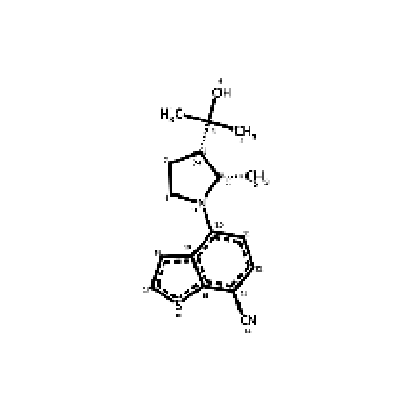 C[C@H]1[C@@H](C(C)(C)O)CCN1c1ccc(C#N)c2sccc12